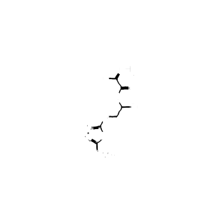 C=C(C)C(=O)SC(CC)CSc1nnc(SC)s1